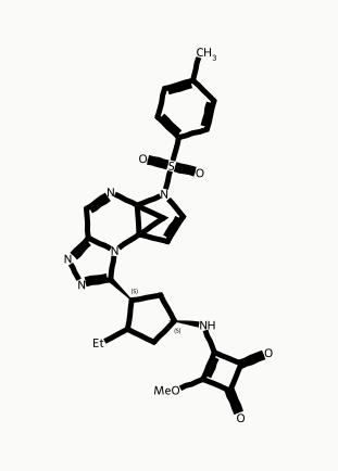 CCC1C[C@H](Nc2c(OC)c(=O)c2=O)C[C@@H]1c1nnc2n1C13C=CN(S(=O)(=O)c4ccc(C)cc4)C1(C3)N=C2